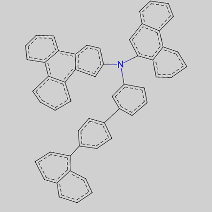 c1cc(-c2ccc(-c3cccc4ccccc34)cc2)cc(N(c2ccc3c4ccccc4c4ccccc4c3c2)c2cc3ccccc3c3ccccc23)c1